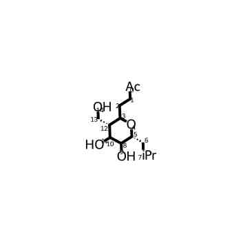 CC(=O)CCC1O[C@H](CC(C)C)C(O)C(O)[C@@H]1CO